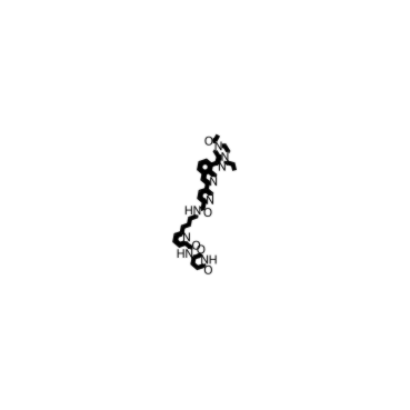 CCc1nc(-c2cccc3cc(-c4ccc(C(=O)NCCCCc5cccc(C(=O)NC6CCC(=O)NC6=O)n5)nc4)ncc23)c2n1CCN(C(C)=O)C2